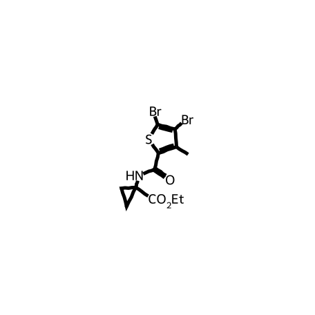 CCOC(=O)C1(NC(=O)c2sc(Br)c(Br)c2C)CC1